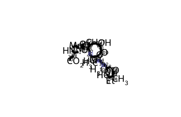 CC[C@H](O)[C@@H](C)[C@H]1O[C@@H]1C[C@@](C)(O)/C=C/C=C(\C)[C@H]1OC(=O)C[C@H](O)CC[C@@](C)(OC)[C@@H](OC(=O)N2CCN[C@@H](CCC(=O)O)C2)/C=C/[C@@H]1C